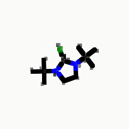 C[Si](C)(C)N1CCN([Si](C)(C)C)[SiH]1Cl